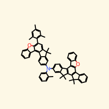 Cc1cc(C)c(-c2cc3c(c4c2oc2ccccc24)-c2ccc(N(c4ccc5c(c4)C(C)(C)c4c6c(c7oc8ccccc8c7c4-5)-c4ccccc4C6(C)C)c4ccccc4C)cc2C3(C)C)c(C)c1